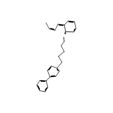 C\C=C/C=C1/C=CC=C/C1=N\CCCCCc1ccc(-c2ccccc2)cc1